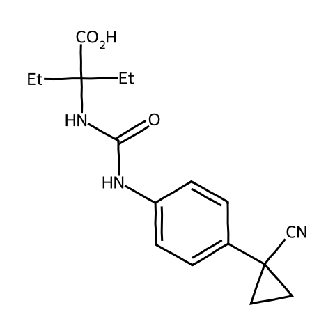 CCC(CC)(NC(=O)Nc1ccc(C2(C#N)CC2)cc1)C(=O)O